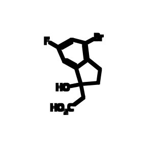 O=C(O)CC1(O)CCc2c(Br)cc(F)cc21